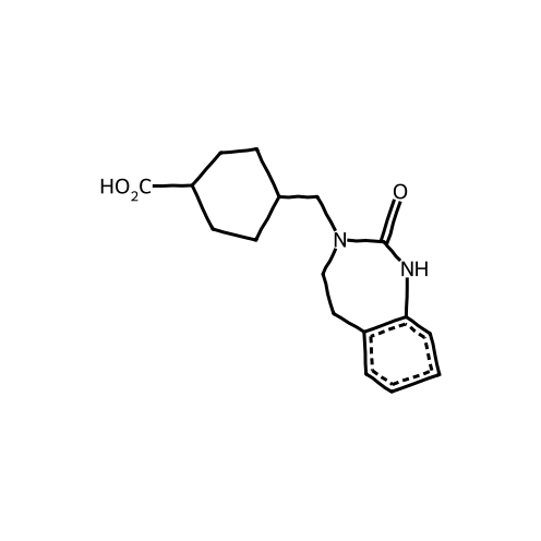 O=C(O)C1CCC(CN2CCc3ccccc3NC2=O)CC1